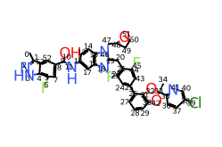 Cc1n[nH]c2c(F)cc(C(O)Nc3ccc4c(c3)nc(Cc3c(F)cc(-c5cccc6c5O[C@](C)(c5ccc(Cl)cn5)O6)cc3F)n4CC3CCO3)cc12